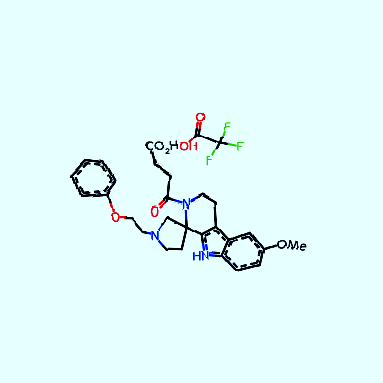 COc1ccc2[nH]c3c(c2c1)CCN(C(=O)CCC(=O)O)C31CCN(CCOc2ccccc2)C1.O=C(O)C(F)(F)F